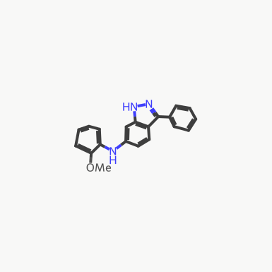 COc1ccccc1Nc1ccc2c(-c3ccccc3)n[nH]c2c1